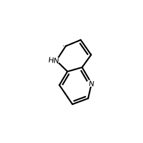 [CH]1C=Cc2ncccc2N1